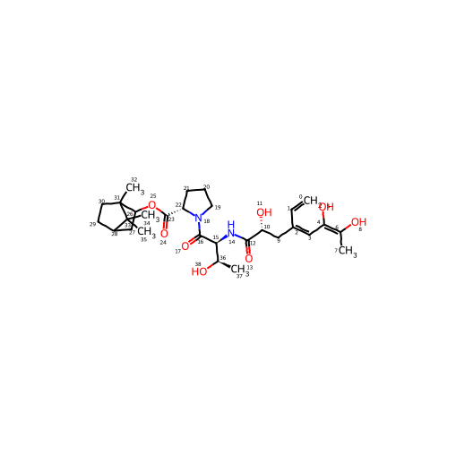 C=C/C(=C\C(O)=C(/C)O)C[C@@H](O)C(=O)N[C@H](C(=O)N1CCC[C@H]1C(=O)OC1CC2CCC1(C)C2(C)C)[C@@H](C)O